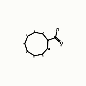 O=C(Cl)C1CCCCCCCC1